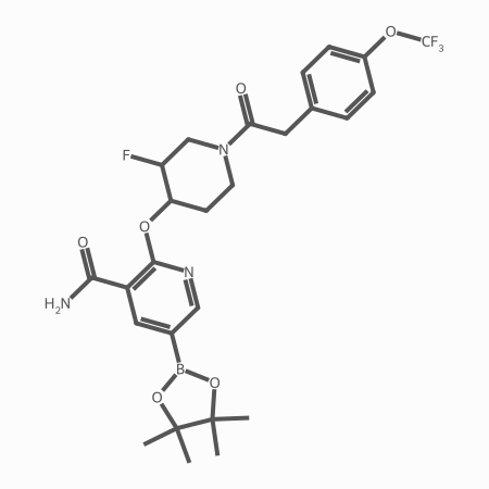 CC1(C)OB(c2cnc(OC3CCN(C(=O)Cc4ccc(OC(F)(F)F)cc4)CC3F)c(C(N)=O)c2)OC1(C)C